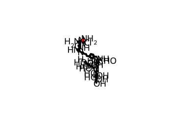 N=C(NCCCCc1ccc(C[C@@H](NC=O)NCCCN(C[C@H](O)[C@@H](O)[C@H](O)[C@H](O)CO)C[C@H](O)[C@@H](O)[C@H](O)[C@H](O)CO)cc1)NC(=O)c1nc(Cl)c(N)nc1N